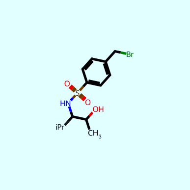 CC(C)C(NS(=O)(=O)c1ccc(CBr)cc1)C(C)O